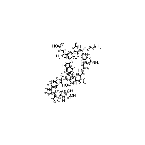 CC(C)C[C@H](NC(=O)[C@H](Cc1c[nH]c2ccccc12)NC(=O)[C@@H](N)CCC(=O)O)C(=O)N[C@@H](CCCCN)C(=O)N[C@@H](CC(N)=O)C(=O)NCC(=O)NCC(=O)N1CCC[C@H]1C(=O)N[C@@H](CO)C(=O)N[C@@H](CO)C(=O)NCC(=O)N[C@@H](C)C(=O)N1CCC[C@H]1C(=O)N1CCC[C@H]1C(=O)N[C@@H](CO)C(=O)O